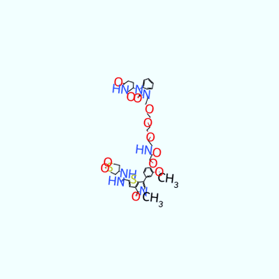 COc1cc(-c2cn(C)c(=O)c3cc(C(=N)NC4CCS(=O)(=O)CC4)sc23)ccc1OCC(=O)NCCOCCOCCOCCn1c(=O)n(C2CCC(=O)NC2=O)c2ccccc21